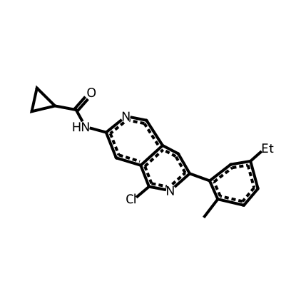 CCc1ccc(C)c(-c2cc3cnc(NC(=O)C4CC4)cc3c(Cl)n2)c1